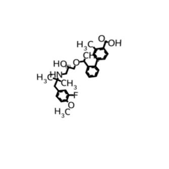 COc1ccc(CC(C)(C)NC[C@@H](O)COC(C)c2ccccc2-c2ccc(C(=O)O)c(C)c2)cc1F